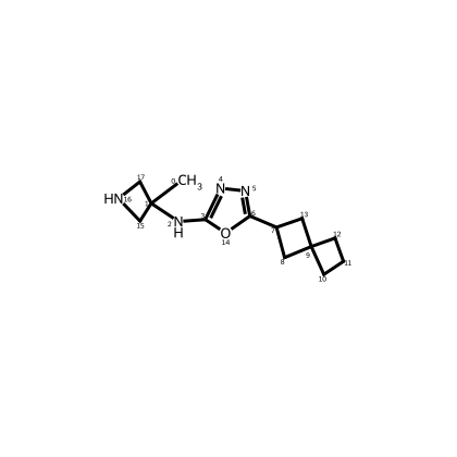 CC1(Nc2nnc(C3CC4(CCC4)C3)o2)CNC1